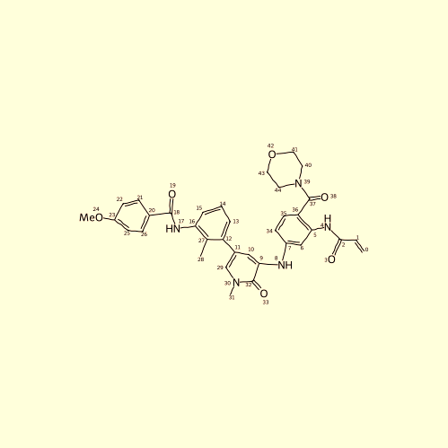 C=CC(=O)Nc1cc(Nc2cc(-c3cccc(NC(=O)c4ccc(OC)cc4)c3C)cn(C)c2=O)ccc1C(=O)N1CCOCC1